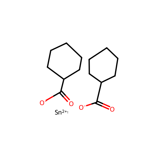 O=C([O-])C1CCCCC1.O=C([O-])C1CCCCC1.[Sn+2]